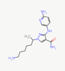 CC(CCCCCN)n1cc(C(N)=O)c(Nc2ccc(N)nc2)n1